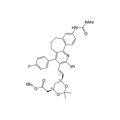 CNC(=O)Nc1ccc2c(c1)CCCc1c-2nc(C(C)C)c(/C=C/[C@@H]2C[C@H](CC(=O)OC(C)(C)C)OC(C)(C)O2)c1-c1ccc(F)cc1